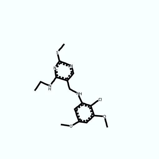 CCNc1nc(SC)ncc1CNc1cc(OC)cc(OC)c1Cl